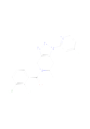 CC1Cc2c(nnn2-c2cc(F)ccn2)CN1C(=O)c1cccc(Cl)c1Cl